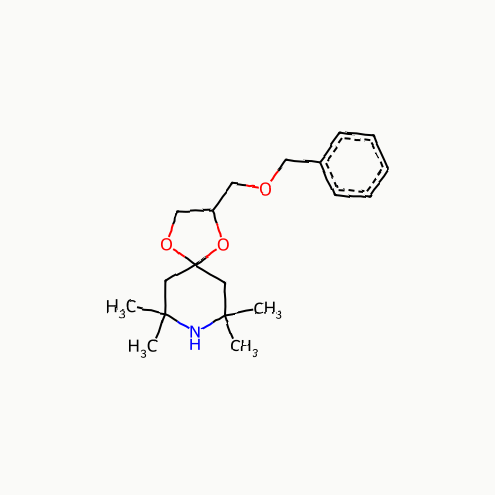 CC1(C)CC2(CC(C)(C)N1)OCC(COCc1ccccc1)O2